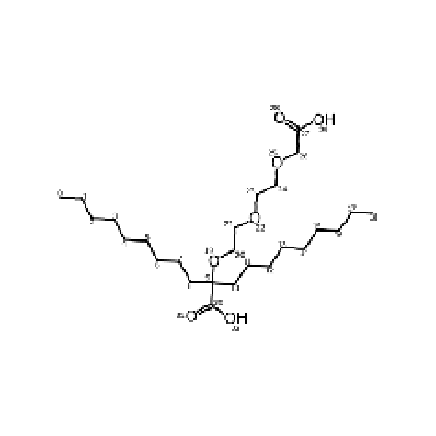 CCCCCCCCCC(CCCCCCCCC)(OCCOCCOCC(=O)O)C(=O)O